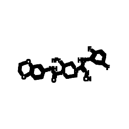 CCCC1CN(/C(=N\C#N)Nc2cc(F)ccc2F)CCN1C(=O)Nc1ccc2c(c1)OCCO2